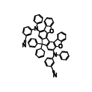 N#Cc1cccc(N(c2ccccc2)c2cc3c(c4c2oc2ccccc24)-c2c(cc(N(c4ccccc4)c4cccc(C#N)c4)c4c2oc2ccccc24)C3(c2ccccc2)C2C=CC=CC2)c1